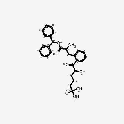 NC(Cc1ccccc1C(=O)C(O)CCCC(O)(O)O)C(=O)OC(c1ccccc1)c1ccccc1